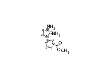 COC(=O)c1cccc(N2C=CN(N)C2N)c1